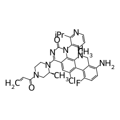 C=CC(=O)N1CCN(c2nc(=O)n(-c3c(C)ccnc3C(C)C)c3c4c(c(Cl)cc23)-c2c(F)ccc(N)c2CN4)[C@@H](C)C1